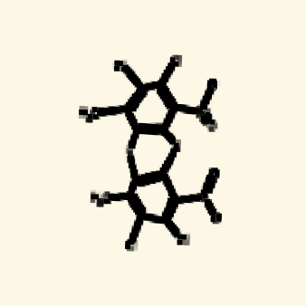 Cc1c(Cl)c(Cl)c([N+](=O)[O-])c2c1Sc1c(C)c(Cl)c(Cl)c([N+](=O)[O-])c1S2